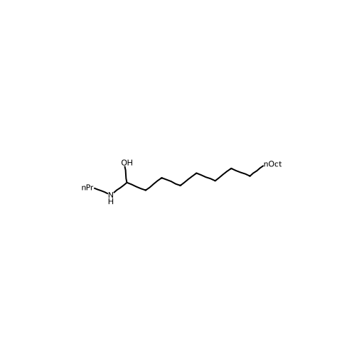 CCCCCCCCCCCCCCCC(O)NCCC